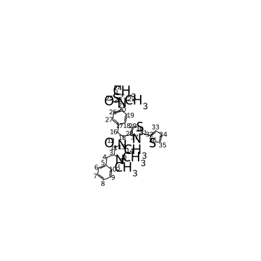 CN(C)C(Cc1ccccc1)C(=O)N(C)C(Cc1ccc(N(C)[S+](C)[O-])cc1)c1csc(-c2cccs2)n1